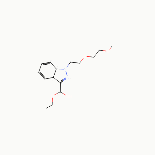 CCOC(O)C1=NN(CCOCCOC)C2C=CC=CC12